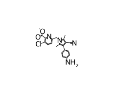 COC(=O)c1nc(Cn2c(C)c(C#N)c(-c3ccc(N)cc3)c2C)ccc1Cl